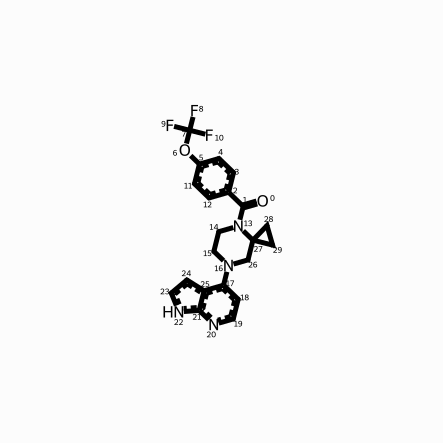 O=C(c1ccc(OC(F)(F)F)cc1)N1CCN(c2ccnc3[nH]ccc23)CC12CC2